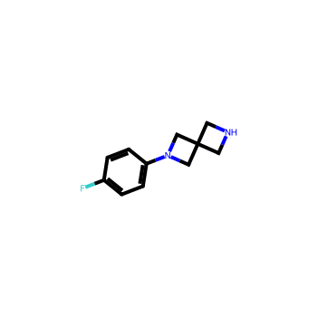 Fc1ccc(N2CC3(CNC3)C2)cc1